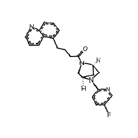 O=C(CCCc1cccc2ncccc12)N1C[C@H]2C[C@@H]1CN2c1ccc(F)cn1